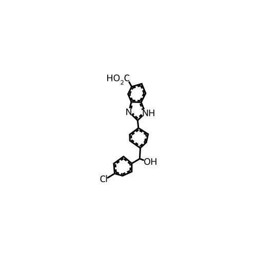 O=C(O)c1ccc2[nH]c(-c3ccc(C(O)c4ccc(Cl)cc4)cc3)nc2c1